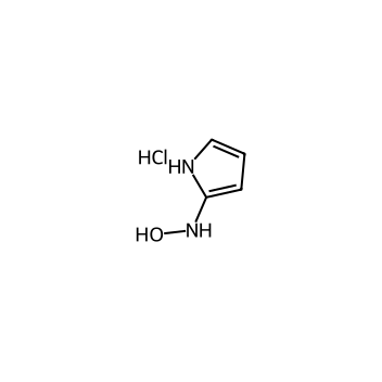 Cl.ONc1ccc[nH]1